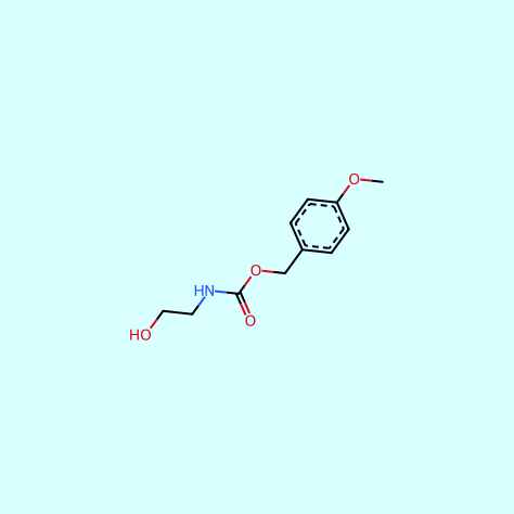 COc1ccc(COC(=O)NCCO)cc1